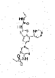 CCNC(=O)Nc1nc2cc(-c3cnc(NS(=O)(=O)CC)nc3)cc(-c3ccccn3)c2s1